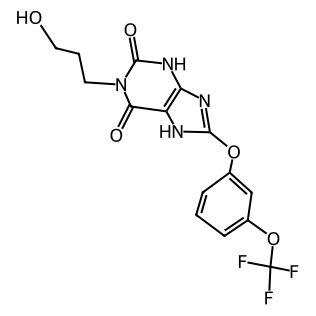 O=c1[nH]c2nc(Oc3cccc(OC(F)(F)F)c3)[nH]c2c(=O)n1CCCO